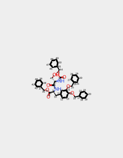 O=C(N[C@@H](CO)C(=O)N[C@@H](Cc1ccc(OCc2ccccc2)c(OCc2ccccc2)c1)C(=O)OCc1ccccc1)OCc1ccccc1